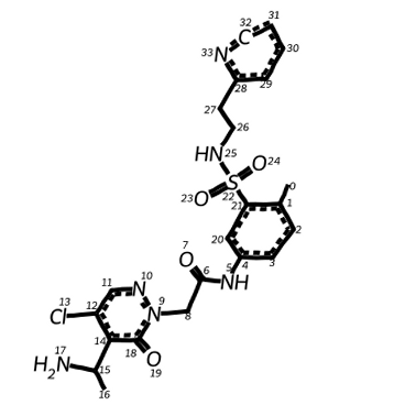 Cc1ccc(NC(=O)Cn2ncc(Cl)c(C(C)N)c2=O)cc1S(=O)(=O)NCCc1ccccn1